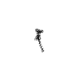 CCCCCCCCCCCCNS(=O)(=O)c1ccc(CN(OC(=O)C=O)C2CCCC2)s1